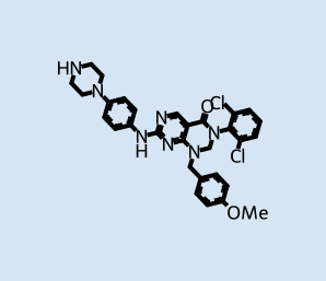 COc1ccc(CN2CN(c3c(Cl)cccc3Cl)C(=O)c3cnc(Nc4ccc(N5CCNCC5)cc4)nc32)cc1